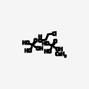 O=P(O)(O)O.O=P(O)(O)O.OCCCl.[CaH2]